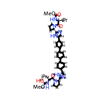 COC(=O)N[C@H](C(=O)N1CCC[C@H]1c1ncc(-c2ccc(-c3ccc(-c4ccc(-c5cnc([C@@H]6CCCN6C(=O)[C@@H](NC(O)OC)C(C)C)[nH]5)cc4)cc3)cc2)[nH]1)C(C)C